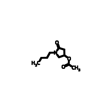 CCCCN1CC(OC(C)=O)CC1=O